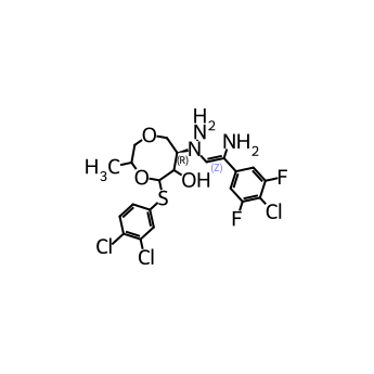 CC1COC[C@@H](N(N)/C=C(\N)c2cc(F)c(Cl)c(F)c2)C(O)C(Sc2ccc(Cl)c(Cl)c2)O1